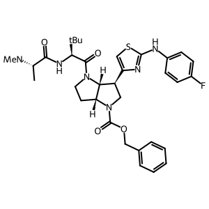 CN[C@@H](C)C(=O)N[C@H](C(=O)N1CC[C@@H]2[C@H]1[C@@H](c1csc(Nc3ccc(F)cc3)n1)CN2C(=O)OCc1ccccc1)C(C)(C)C